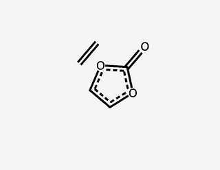 C=C.O=c1occo1